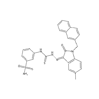 Cc1ccc2c(c1)C(=NNC(=S)Nc1cccc(S(N)(=O)=O)c1)C(=O)N2Cc1ccc2ccccc2c1